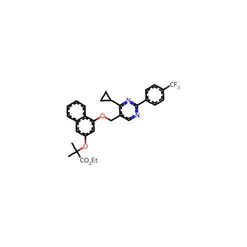 CCOC(=O)C(C)(C)Oc1cc(OCc2cnc(-c3ccc(C(F)(F)F)cc3)nc2C2CC2)c2ccccc2c1